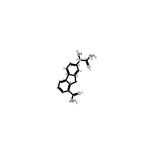 NC(=O)c1[c]ccc2c1Cc1cc(N(S)C(N)=O)ccc1-2